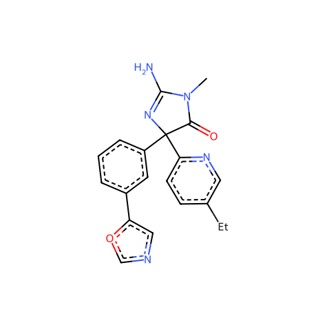 CCc1ccc(C2(c3cccc(-c4cnco4)c3)N=C(N)N(C)C2=O)nc1